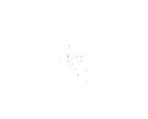 Cc1ccc(S(=O)(=O)OC(=NC(=N)N)[C@@H](Cc2ccc([N+](=O)[O-])c(CN3CCCCC3)c2)NS(=O)(=O)c2ccc(I)cc2)cc1